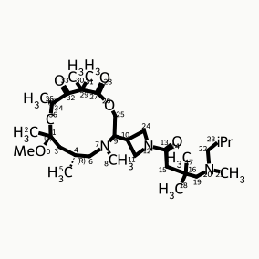 CO[C@]1(C)C[C@@H](C)CN(C)C(C2CN(C(=O)CC(C)(C)CN(C)CC(C)C)C2)COC(=O)C(C)(C)C(=O)[C@H](C)C1